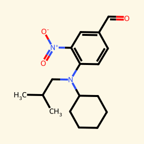 CC(C)CN(c1ccc(C=O)cc1[N+](=O)[O-])C1CCCCC1